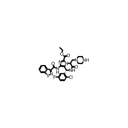 CCOC(=O)c1nc(NC(=O)c2nsc3ccccc23)c2n1C(CN1CCNCC1)C(=O)N[C@@H]2c1cc(F)ccc1Cl